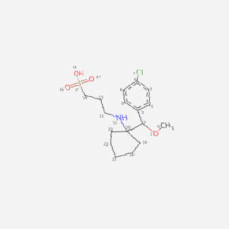 COC(c1ccc(Cl)cc1)C1(NCCCS(=O)(=O)O)CCCCC1